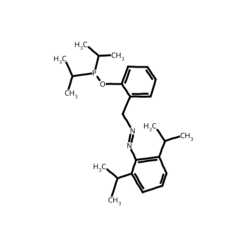 CC(C)c1cccc(C(C)C)c1N=NCc1ccccc1OP(C(C)C)C(C)C